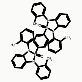 Cc1ccccc1N1c2ccccc2N(c2ccccc2C)P1(=O)c1ccc(P2(=O)N(c3ccccc3C)c3ccccc3N2c2ccccc2C)cc1